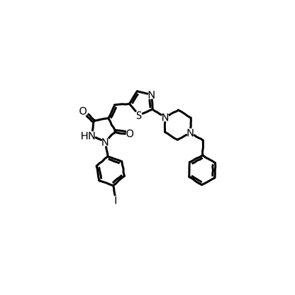 O=C1NN(c2ccc(I)cc2)C(=O)C1=Cc1cnc(N2CCN(Cc3ccccc3)CC2)s1